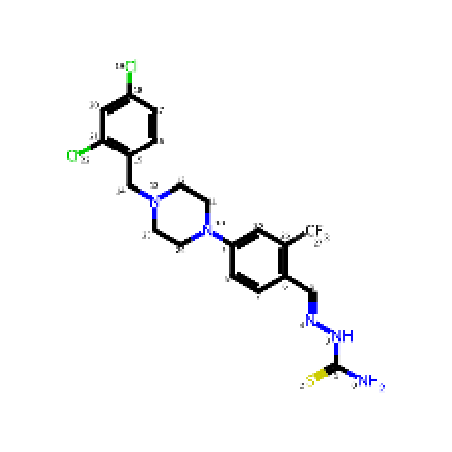 NC(=S)NN=Cc1ccc(N2CCN(Cc3ccc(Cl)cc3Cl)CC2)cc1C(F)(F)F